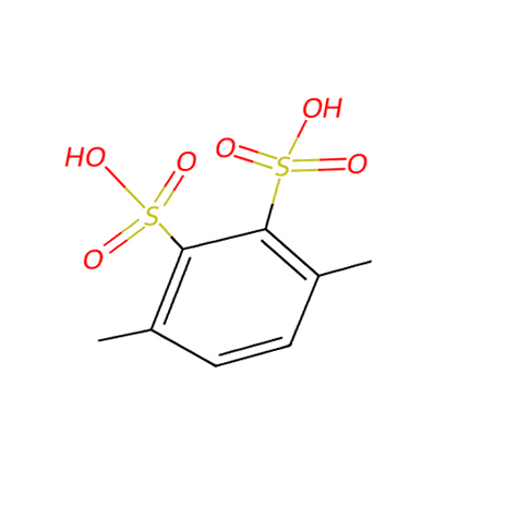 Cc1ccc(C)c(S(=O)(=O)O)c1S(=O)(=O)O